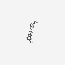 CC(C)c1ccc2sc(C(C)(C)CSc3ccc(C(C)C)s3)cc2c1